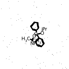 CC(C)O[Si](OC(C)(C)N)(c1ccccc1)c1ccccc1